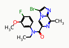 CCN(C(=O)c1cn2c(Br)cnc2c(C)n1)c1ccc(F)c(OC)c1